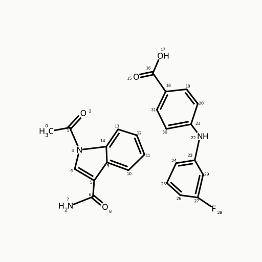 CC(=O)n1cc(C(N)=O)c2ccccc21.O=C(O)c1ccc(Nc2cccc(F)c2)cc1